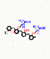 CCc1cccc(Cc2cccc(Cc3cccc(Cc4cccc(C)c4OCCNC(=N)N)c3O)c2OCCNC(=N)N)c1O